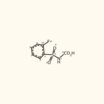 O=C(O)NS(=O)(=O)c1ccccc1F